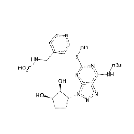 CCCCNc1nc(SCCC)nc2c1nnn2[C@@H]1CC[C@@H](O)[C@H]1O.O=C(O)NCc1ccncc1